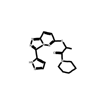 CC(Sc1ccc2nnc(-c3ccn[nH]3)n2n1)C(=O)N1CCCCC1